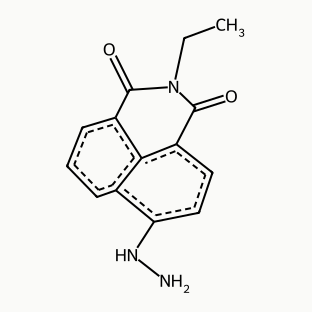 CCN1C(=O)c2cccc3c(NN)ccc(c23)C1=O